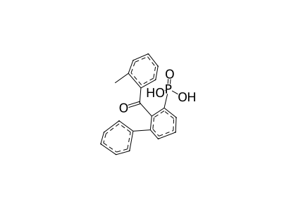 Cc1ccccc1C(=O)c1c(-c2ccccc2)cccc1P(=O)(O)O